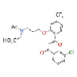 CC(=O)N(CCCOc1cc(C(F)(F)F)ccc1-c1cc(=O)c2cccc(Cl)c2o1)CC(=O)O